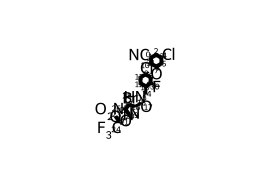 N#Cc1cc(Cl)cc(Oc2c(Cl)ccc(CNC(=O)c3nn(OC(=O)C(F)(F)F)c([N+](=O)[O-])c3Br)c2F)c1